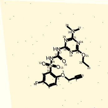 C#CCOc1ccc(F)cc1S(=O)(=O)NC(=O)Nc1nc(OCC)nc(N(C)C)n1